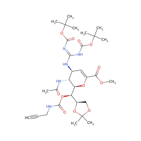 C#CCNC(=O)O[C@@H]([C@@H]1OC(C(=O)OC)=C[C@H](N/C(=N/C(=O)OC(C)(C)C)NC(=O)OC(C)(C)C)[C@H]1NC(C)=O)[C@H]1COC(C)(C)O1